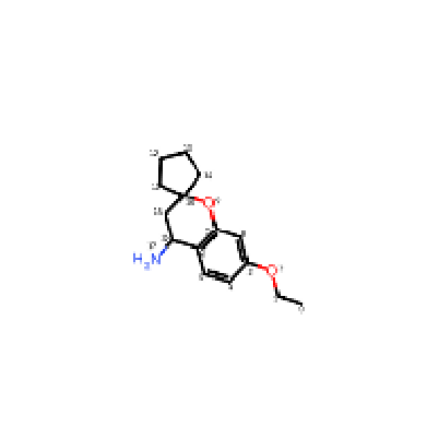 CCOc1ccc2c(c1)OC1(CCCC1)CC2N